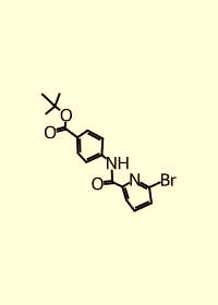 CC(C)(C)OC(=O)c1ccc(NC(=O)c2cccc(Br)n2)cc1